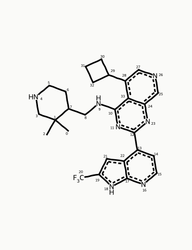 CC1(C)CNCCC1CNc1nc(-c2ccnc3[nH]c(C(F)(F)F)cc23)nc2cncc(C3CCC3)c12